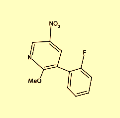 COc1ncc([N+](=O)[O-])cc1-c1ccccc1F